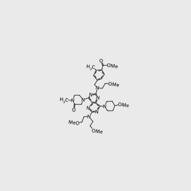 COCCN(Cc1ccc(C(=O)OC)c(C)c1)c1nc(N2CCN(C)C(=O)C2)c2nc(N(CCOC)CCOC)nc(N3CCC(OC)CC3)c2n1